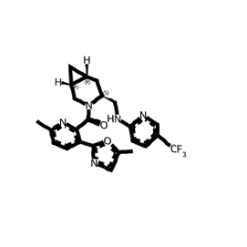 Cc1ccc(-c2ncc(C)o2)c(C(=O)N2C[C@@H]3C[C@@H]3C[C@H]2CNc2ccc(C(F)(F)F)cn2)n1